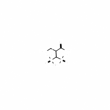 [CH2]CC([C](P(=O)(O)O)P(=O)(O)O)C(=O)O